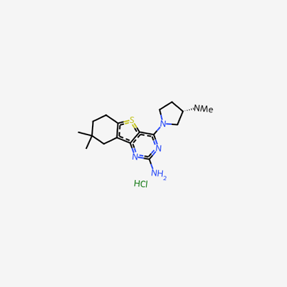 CN[C@H]1CCN(c2nc(N)nc3c4c(sc23)CCC(C)(C)C4)C1.Cl